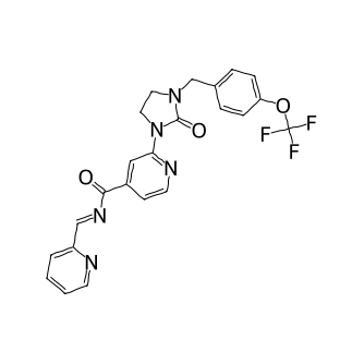 O=C(N=Cc1ccccn1)c1ccnc(N2CCN(Cc3ccc(OC(F)(F)F)cc3)C2=O)c1